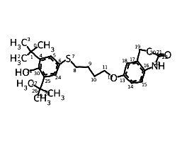 CC(C)(C)c1cc(SCCCCOc2ccc3c(c2)CCC(=O)N3)cc(C(C)(C)C)c1O